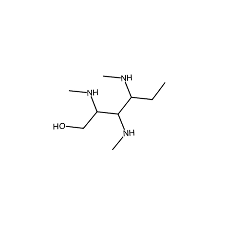 CCC(NC)C(NC)C(CO)NC